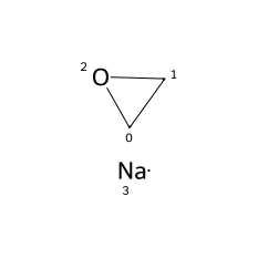 C1CO1.[Na]